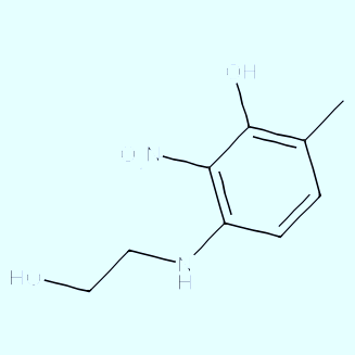 Cc1ccc(NCCO)c([N+](=O)[O-])c1O